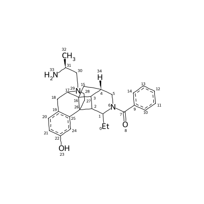 CCC1C2C3[C@@H](CN1C(=O)c1ccccc1)CC31C3Cc4ccc(O)cc4C21CCN3C[C@H](C)N